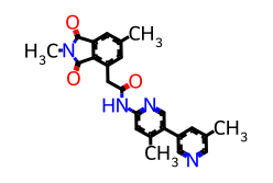 Cc1cncc(-c2cnc(NC(=O)Cc3cc(C)cc4c3C(=O)N(C)C4=O)cc2C)c1